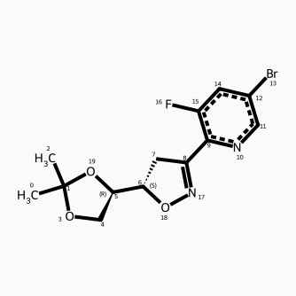 CC1(C)OC[C@H]([C@@H]2CC(c3ncc(Br)cc3F)=NO2)O1